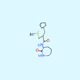 CC(=O)SCC(Cc1ccccc1)C(=O)N[C@H]1CCCCNC1=O